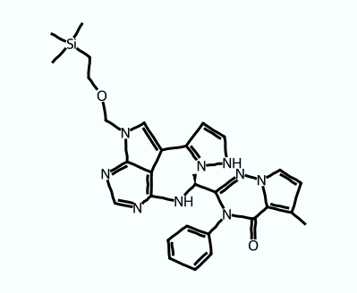 Cc1ccn2nc([C@H](C)Nc3ncnc4c3c(-c3cc[nH]n3)cn4COCC[Si](C)(C)C)n(-c3ccccc3)c(=O)c12